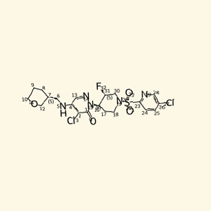 O=c1c(Cl)c(NC[C@@H]2CCCOC2)cnn1[C@@H]1CCN(S(=O)(=O)c2ccc(Cl)cn2)C[C@@H]1F